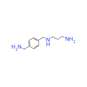 NCCCNCc1ccc(CN)cc1